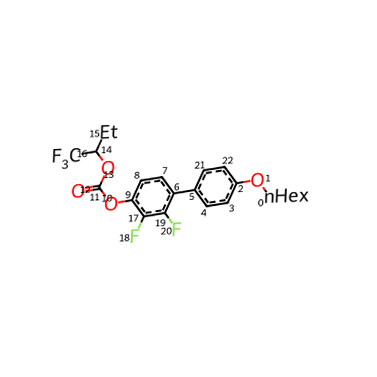 CCCCCCOc1ccc(-c2ccc(OC(=O)OC(CC)C(F)(F)F)c(F)c2F)cc1